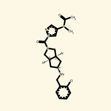 CC(=O)N(C)c1cnn(C(=O)N2C[C@H]3C[C@@H](NCc4ccccc4Cl)C[C@H]3C2)c1